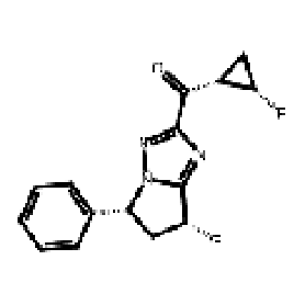 O=C(c1nc2n(n1)[C@@H](c1ccccc1)C[C@H]2F)[C@@H]1C[C@@H]1F